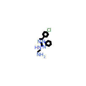 NCCNc1nc2ccccc2n2c(-c3ccc(Cl)cc3)cnc12